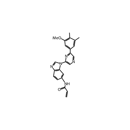 C=CC(=O)Nc1ccc2ncn(-c3cncc(-c4cc(C)c(C)c(OC)c4)n3)c2c1